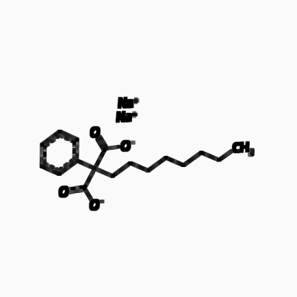 CCCCCCCCC(C(=O)[O-])(C(=O)[O-])c1ccccc1.[Na+].[Na+]